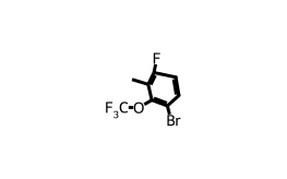 Cc1c(F)ccc(Br)c1OC(F)(F)F